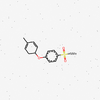 CNS(=O)(=O)c1ccc(OC2C=CC(C)=CC2)cc1